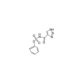 O=C(NS(=O)(=O)Oc1ccccc1)c1c[nH]nn1